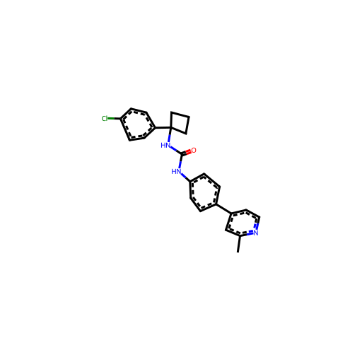 Cc1cc(-c2ccc(NC(=O)NC3(c4ccc(Cl)cc4)CCC3)cc2)ccn1